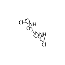 O=C(CCN1CCc2c([nH]c3ccc(Cl)cc23)C1)Nc1cccc(Cl)c1